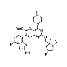 COc1nc2c(N3CCNCC3)nc(OCC34CCCN3C[C@H](F)C4)nc2cc1-c1ccc(F)c2sc(N)nc12